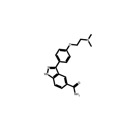 CN(C)CCOc1ccc(-c2n[nH]c3ccc(C(N)=O)cc23)cc1